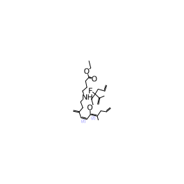 C=CC/C(C)=C(/C=C\C(=C)CCNCCCC(=O)OCC)OCCC(F)(CC=C)C(=C)C